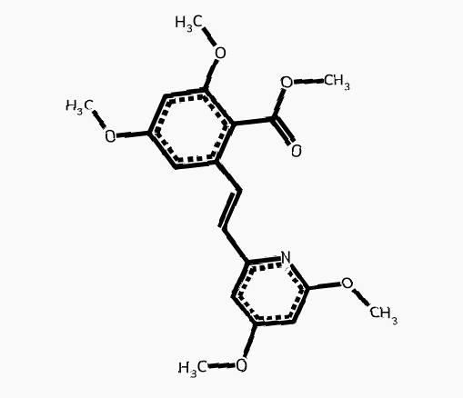 COC(=O)c1c(/C=C/c2cc(OC)cc(OC)n2)cc(OC)cc1OC